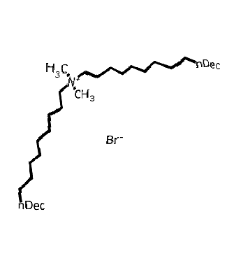 CCCCCCCCCCCCCCCCCCC[N+](C)(C)CCCCCCCCCCCCCCCCCCC.[Br-]